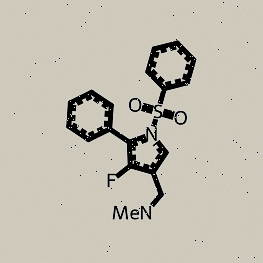 CNCc1cn(S(=O)(=O)c2ccccc2)c(-c2ccccc2)c1F